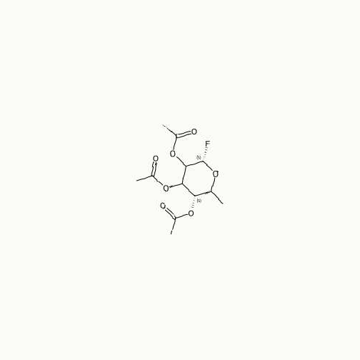 CC(=O)OC1C(OC(C)=O)[C@H](F)OC(C)[C@@H]1OC(C)=O